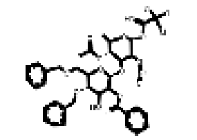 CC(=O)O[C@@H]1C(C)O[C@@H](OC(=N)C(Cl)(Cl)Cl)C(N=[N+]=[N-])C1O[C@@H]1OC(COCc2ccccc2)[C@@H](OCc2ccccc2)C(O)C1OC(=O)c1ccccc1